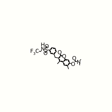 Cc1cc2c(C)c(Cc3cccc(S(=O)(=O)NCC(F)(F)F)c3)c(=O)oc2cc1OC(=O)N(C)C